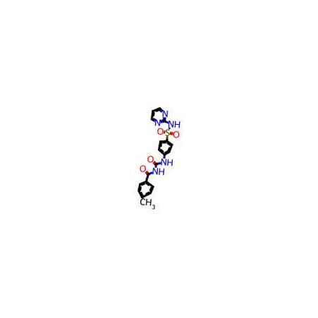 Cc1ccc(C(=O)NC(=O)Nc2ccc(S(=O)(=O)Nc3ncccn3)cc2)cc1